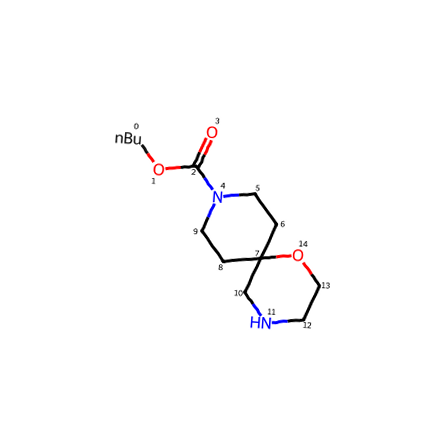 CCCCOC(=O)N1CCC2(CC1)CNCCO2